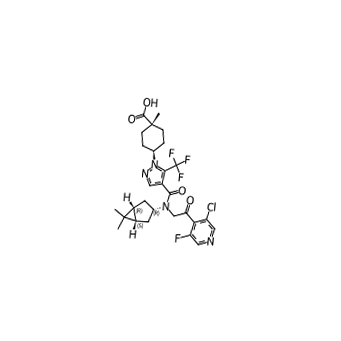 CC1(C)[C@@H]2C[C@H](N(CC(=O)c3c(F)cncc3Cl)C(=O)c3cnn([C@H]4CC[C@](C)(C(=O)O)CC4)c3C(F)(F)F)C[C@@H]21